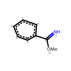 COC(=N)c1c[c]ccc1